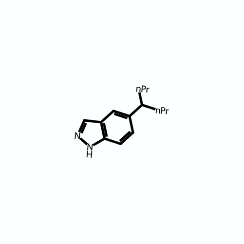 CCCC(CCC)c1ccc2[nH]ncc2c1